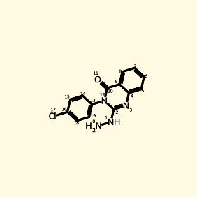 NNc1nc2ccccc2c(=O)n1-c1ccc(Cl)cc1